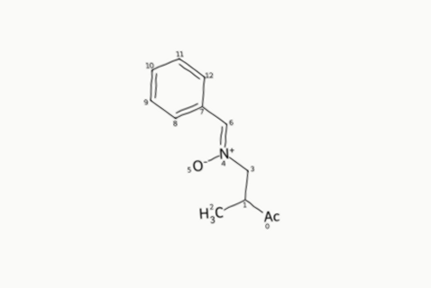 CC(=O)C(C)C[N+]([O-])=Cc1ccccc1